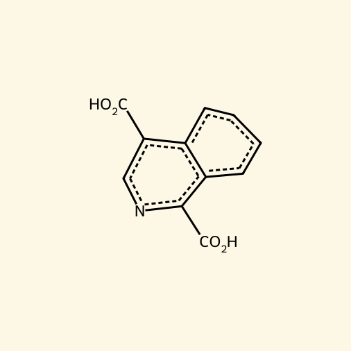 O=C(O)c1cnc(C(=O)O)c2ccccc12